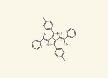 Cc1ccc(-c2[nH]/c(=C(/C#N)c3ccccn3)c3c(-c4ccc(C)cc4)[nH]/c(=C(/C#N)c4ccccn4)c23)cc1